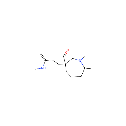 C=C(CCC1(C=O)CCCC(C)N(C)C1)NC